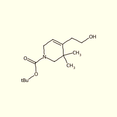 CC(C)(C)OC(=O)N1CC=C(CCO)C(C)(C)C1